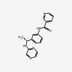 C[C@H](Nc1cnccn1)c1cccc(NC(=O)c2cccnc2)c1